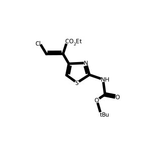 CCOC(=O)C(=CCl)c1csc(NC(=O)OC(C)(C)C)n1